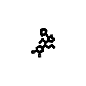 C=CCC(c1ccc(Cl)c(Cl)c1)C(OC)c1cnnn1-c1ccccc1